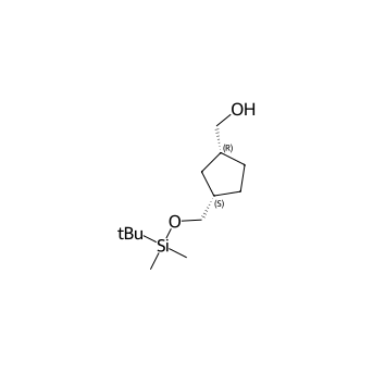 CC(C)(C)[Si](C)(C)OC[C@H]1CC[C@@H](CO)C1